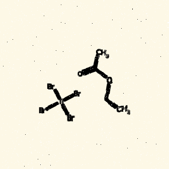 CCOC(C)=O.[Br][Ti]([Br])([Br])[Br]